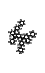 c1ccc(-c2ccc(-c3cccc4c3c3ccc(N(c5ccc(-c6ccccc6)cc5)c5ccc(-c6ccccc6)c6ccccc56)cc3n4-c3ccccc3)cc2)cc1